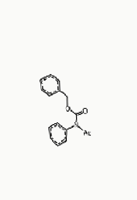 CC(=O)N(C(=O)OCc1ccccc1)c1ccccc1